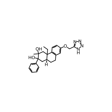 CCC12CC(C)(O)C(O)(c3ccccc3)C[C@H]1CCc1cc(OCc3nnn[nH]3)ccc12